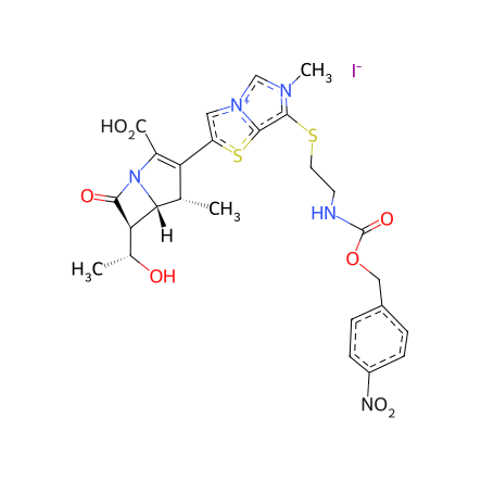 C[C@@H](O)[C@H]1C(=O)N2C(C(=O)O)=C(c3c[n+]4cn(C)c(SCCNC(=O)OCc5ccc([N+](=O)[O-])cc5)c4s3)[C@H](C)[C@H]12.[I-]